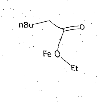 CCCCCC(=O)OCC.[Fe]